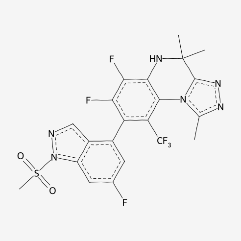 Cc1nnc2n1-c1c(c(F)c(F)c(-c3cc(F)cc4c3cnn4S(C)(=O)=O)c1C(F)(F)F)NC2(C)C